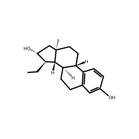 CC[C@@H]1[C@H]2[C@@H]3CCc4cc(O)ccc4[C@H]3CC[C@]2(C)C[C@H]1O